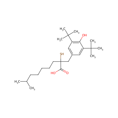 CC(C)CCCCCC(S)(Cc1cc(C(C)(C)C)c(O)c(C(C)(C)C)c1)C(=O)O